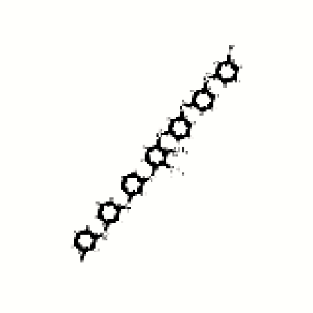 Cc1c(Oc2cccc(Oc3cccc(Oc4cccc(F)c4)c3)c2)ccc(Oc2cccc(Oc3cccc(Oc4cccc(F)c4)c3)c2)c1C